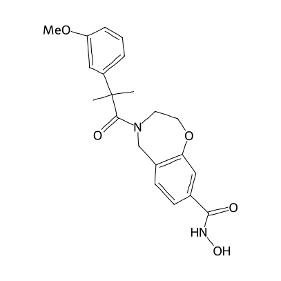 COc1cccc(C(C)(C)C(=O)N2CCOc3cc(C(=O)NO)ccc3C2)c1